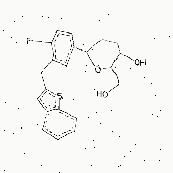 OCC1OC(c2ccc(F)c(Cc3cc4ccccc4s3)c2)CCC1O